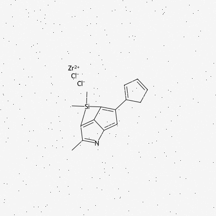 CC1=NC2=CC(C3=CC=CC3)=C3C2=C1[Si]3(C)C.[Cl-].[Cl-].[Zr+2]